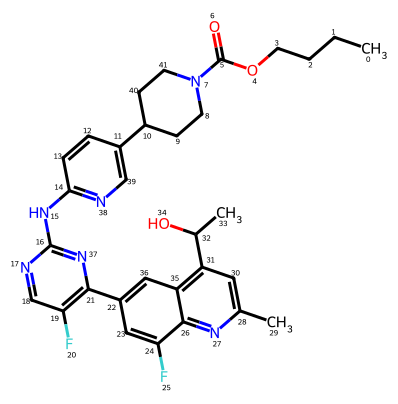 CCCCOC(=O)N1CCC(c2ccc(Nc3ncc(F)c(-c4cc(F)c5nc(C)cc(C(C)O)c5c4)n3)nc2)CC1